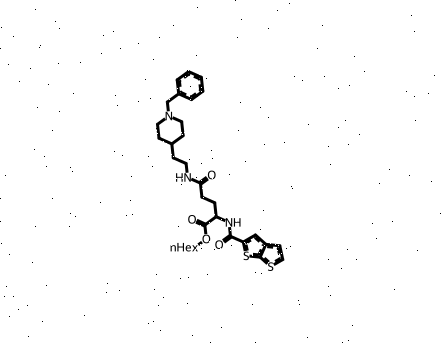 CCCCCCOC(=O)C(CCC(=O)NCCC1CCN(Cc2ccccc2)CC1)NC(=O)c1cc2ccsc2s1